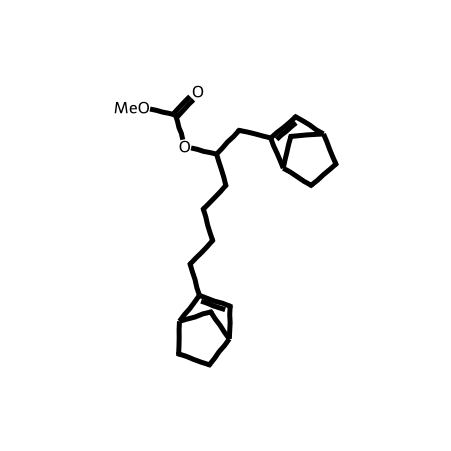 COC(=O)OC(CCCCC1=CC2CCC1C2)CC1=CC2CCC1C2